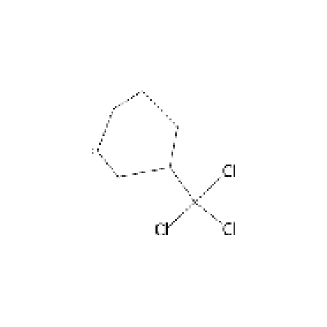 ClC(Cl)(Cl)C1C[C]CCC1